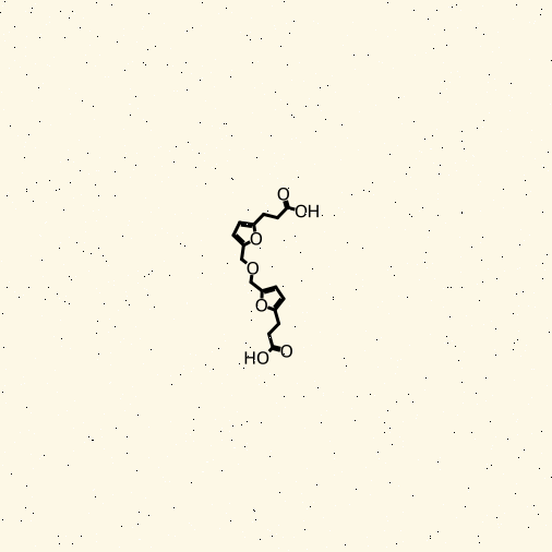 O=C(O)CCc1ccc(COCc2ccc(CCC(=O)O)o2)o1